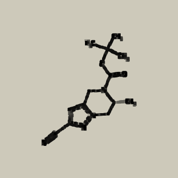 C[C@@H]1Cn2nc(C#N)cc2CN1C(=O)OC(C)(C)C